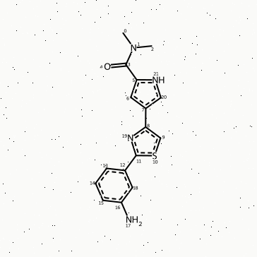 CN(C)C(=O)c1cc(-c2csc(-c3cccc(N)c3)n2)c[nH]1